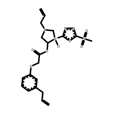 C=CCc1cccc(OCC(=O)OC2CN(CC=C)C[N+]2([O-])c2nnc(S(C)(=O)=O)s2)c1